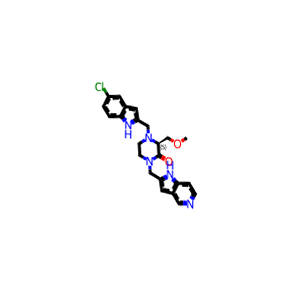 COC[C@H]1C(=O)N(Cc2cc3cnccc3[nH]2)CCN1Cc1cc2cc(Cl)ccc2[nH]1